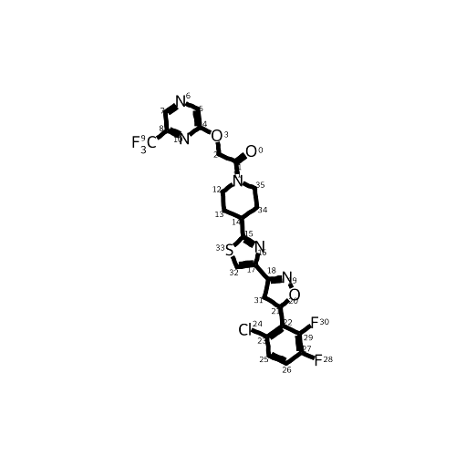 O=C(COc1cncc(C(F)(F)F)n1)N1CCC(c2nc(C3=NOC(c4c(Cl)ccc(F)c4F)C3)cs2)CC1